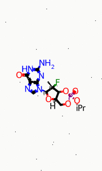 CC(C)OP1(=O)OC[C@H]2O[C@@H](n3cnc4c(=O)[nH]c(N)nc43)[C@](C)(F)C2O1